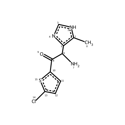 Cc1[nH]cnc1C(N)C(=O)c1ccc(Cl)s1